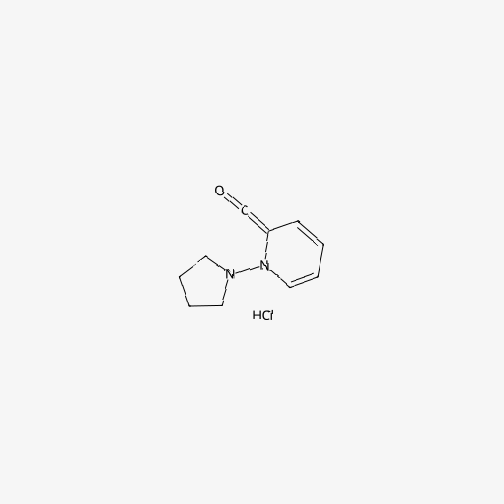 Cl.O=C=C1C=CC=CN1N1CCCC1